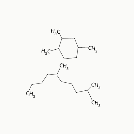 CC1CCC(C)C(C)C1.CCCCC(C)CCCC(C)C